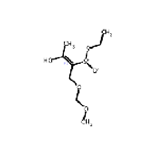 CCS[S+]([O-])/C(COCOC)=C(\C)O